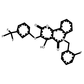 O=c1oc2c(c(O)c1Sc1cccc(C(F)(F)F)c1)c(=O)n(Cc1ccccc1F)c1ccccc21